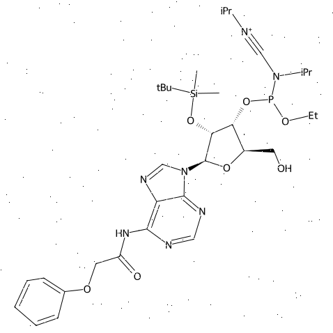 CCOP(O[C@H]1[C@@H](O[Si](C)(C)C(C)(C)C)[C@H](n2cnc3c(NC(=O)COc4ccccc4)ncnc32)O[C@@H]1CO)N(C#[N+]C(C)C)C(C)C